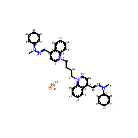 CN(/N=C/c1cc[n+](CCCC[n+]2ccc(/C=N/N(C)c3ccccc3)c3ccccc32)c2ccccc12)c1ccccc1.[Br-].[Br-]